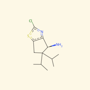 CC(C)C1(C(C)C)Cc2sc(Cl)nc2[C@H]1N